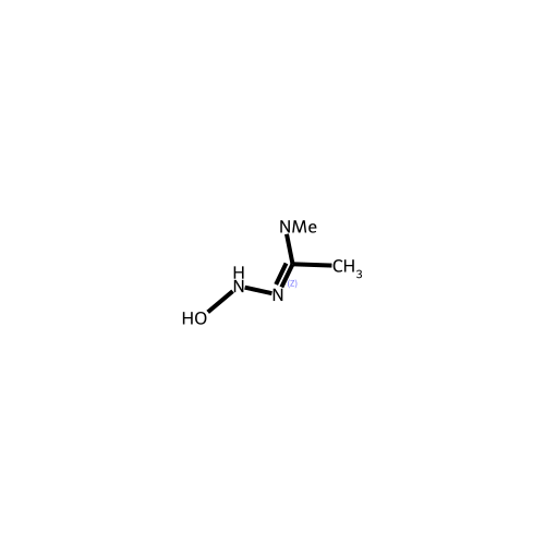 CN/C(C)=N\NO